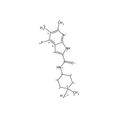 Cc1nc2[nH]c(C(=O)NC3CCS(C)(C)CC3)cc2c(F)c1C